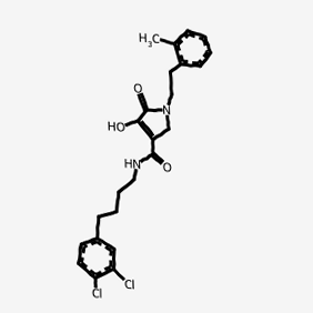 Cc1ccccc1CCN1CC(C(=O)NCCCCc2ccc(Cl)c(Cl)c2)=C(O)C1=O